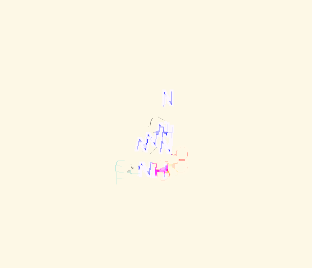 CS(=O)(=O)CC(=O)Nc1c2c(nn1-c1ccc(C#N)cn1)C[C@H](C(F)(F)F)NC2=O